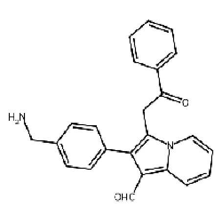 NCc1ccc(-c2c(C=O)c3ccccn3c2CC(=O)c2ccccc2)cc1